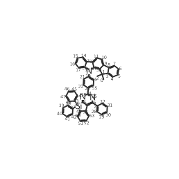 CC1(C)c2ccccc2-c2ccc3c4ccccc4n(-c4ccc(-c5nc(-c6ccccc6)c6c(n5)[Si](c5ccccc5)(c5ccccc5)c5ccccc5-6)cc4)c3c21